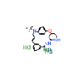 CN(CC=Cc1cccc(C(=N)N)c1)c1ccc(OC2CCNCC2)cc1.Cl.Cl.Cl